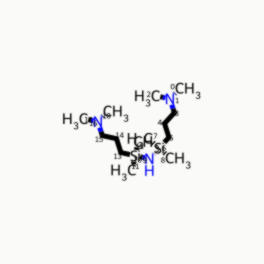 CN(C)CCC[Si](C)(C)N[Si](C)(C)CCCN(C)C